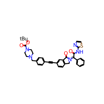 CC(C)(C)OC(=O)N1CCN(Cc2ccc(C#Cc3ccc4c(c3)C(=O)N([C@@H](C(=O)Nc3nccs3)c3ccccc3)C4)cc2)CC1